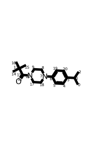 CC(C)c1ccc(N2CCN(C(=O)C(C)(C)C)CC2)cc1